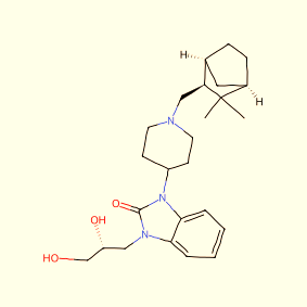 CC1(C)[C@@H]2CC[C@@H](C2)[C@@H]1CN1CCC(n2c(=O)n(C[C@@H](O)CO)c3ccccc32)CC1